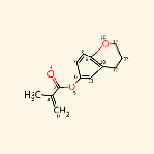 C=C(C)C(=O)Oc1ccc2c(c1)CCCO2